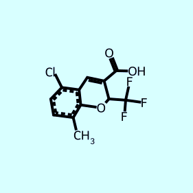 Cc1ccc(Cl)c2c1OC(C(F)(F)F)C(C(=O)O)=C2